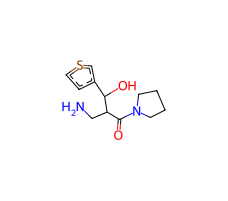 NCC(C(=O)N1CCCC1)C(O)c1ccsc1